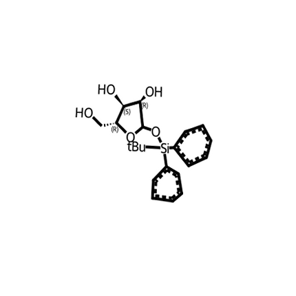 CC(C)(C)[Si](OC1O[C@H](CO)[C@@H](O)[C@H]1O)(c1ccccc1)c1ccccc1